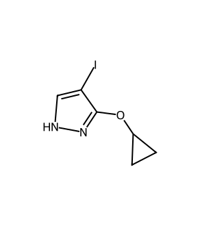 Ic1c[nH]nc1OC1CC1